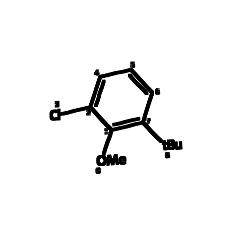 COc1c(Cl)cccc1C(C)(C)C